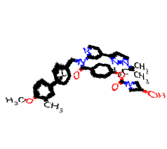 COc1ccc(C23CCC(CN(C(=O)C4CCC(OC(=O)N5CC(O)C5)CC4)c4cc(-c5ccn(C(C)(C)C)n5)ccn4)(CC2)CC3)cc1C